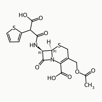 CC(=O)OCC1=C(C(=O)O)N2C(=O)[C@@H](NC(=O)C(C(=O)O)c3cccs3)[C@H]2SC1